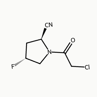 N#C[C@@H]1C[C@@H](F)CN1C(=O)CCl